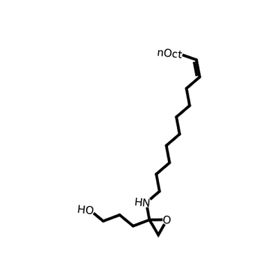 CCCCCCCC/C=C\CCCCCCCCNC1(CCCO)CO1